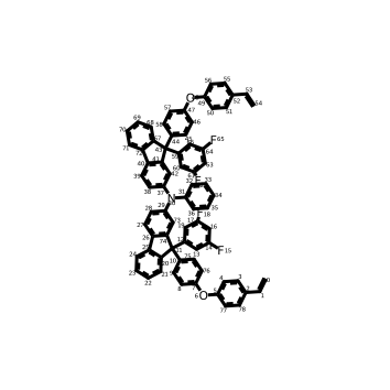 C=Cc1ccc(Oc2ccc(C3(c4cc(F)cc(F)c4)c4ccccc4-c4ccc(N(c5ccccc5)c5ccc6c(c5)C(c5ccc(Oc7ccc(C=C)cc7)cc5)(c5cc(F)cc(F)c5)c5ccccc5-6)cc43)cc2)cc1